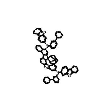 c1ccc(-c2cccc(N(c3ccc4c(c3)oc3ccccc34)c3ccc4c(c3)oc3ccc5c(c34)C3(c4cc(N(c6cccc(-c7ccccc7)c6)c6ccc7c(c6)oc6ccccc67)c6ccccc6c4-5)C4CC5CC(C4)CC3C5)c2)cc1